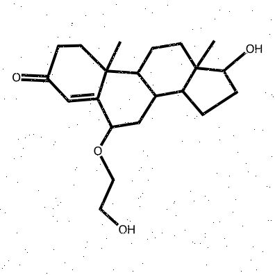 CC12CCC(=O)C=C1C(OCCO)CC1C2CCC2(C)C(O)CCC12